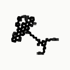 CCCCCCCCCCCCOc1cc(OCCCCCCCCCCCC)cc(C(=O)OCCCCCCNc2cc3c4c(ccc5c6c(-c7ccc(-c8ccc(CCCCCC)s8)s7)cc7c8c(ccc(c2c45)c86)C(=O)N(c2c(C(C)C)cccc2C(C)C)C7=O)C(=O)N(c2c(C(C)C)cccc2C(C)C)C3=O)c1